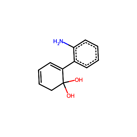 Nc1ccccc1C1=CC=CCC1(O)O